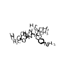 CC(C)(C)OC(=O)N=C(N)N(Cc1ccc(N)cc1)C(=O)OC(C)(C)C